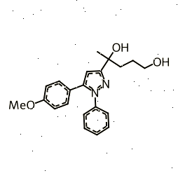 COc1ccc(-c2cc(C(C)(O)CCCO)nn2-c2ccccc2)cc1